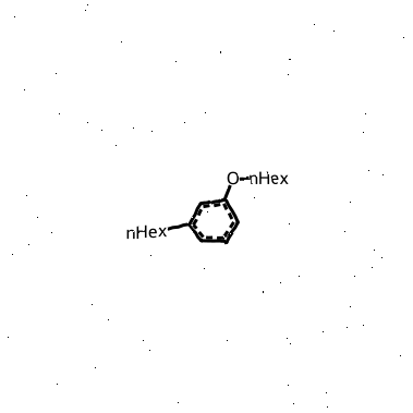 CCCCCCOc1cccc(CCCCCC)c1